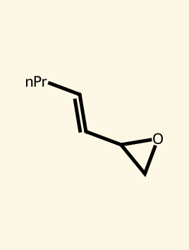 CCCC=CC1CO1